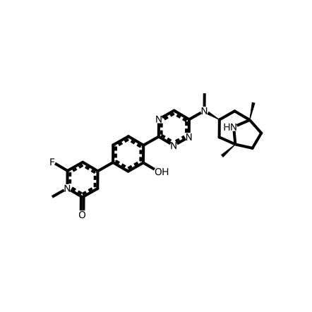 CN(c1cnc(-c2ccc(-c3cc(F)n(C)c(=O)c3)cc2O)nn1)[C@H]1C[C@]2(C)CC[C@](C)(C1)N2